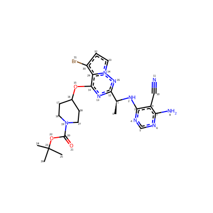 C[C@H](Nc1ncnc(N)c1C#N)c1nc(OC2CCN(C(=O)OC(C)(C)C)CC2)c2c(Br)ccn2n1